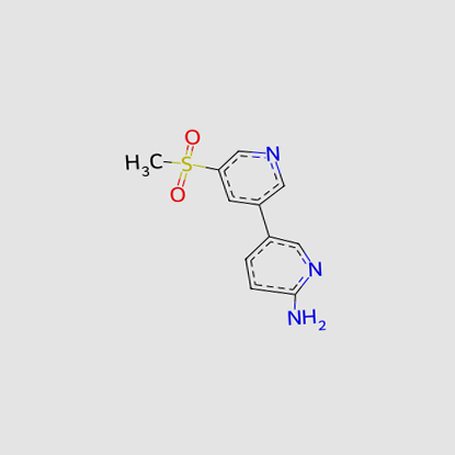 CS(=O)(=O)c1cncc(-c2ccc(N)nc2)c1